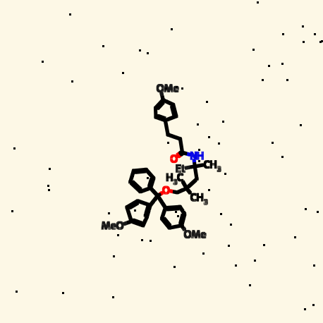 CCC(C)(CC(C)(C)COC(c1ccccc1)(c1ccc(OC)cc1)c1ccc(OC)cc1)NC(=O)CCc1ccc(OC)cc1